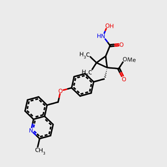 COC(=O)[C@]1(Cc2ccc(OCc3cccc4nc(C)ccc34)cc2)C(C(=O)NO)C1(C)C